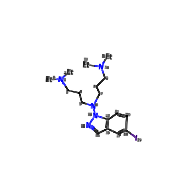 CCN(CC)CCCN(CCCN(CC)CC)n1ncc2cc(I)ccc21